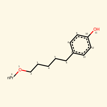 CCCOCCCCCc1ccc(O)cc1